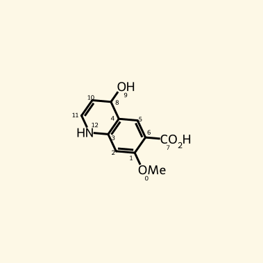 COc1cc2c(cc1C(=O)O)C(O)C=CN2